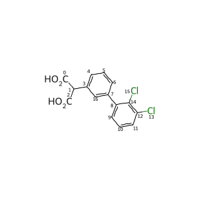 O=C(O)C(C(=O)O)c1cccc(-c2cccc(Cl)c2Cl)c1